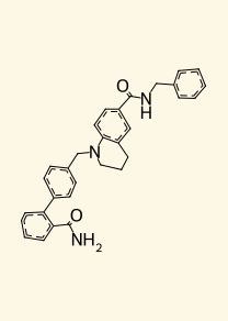 NC(=O)c1ccccc1-c1ccc(CN2CCCc3cc(C(=O)NCc4ccccc4)ccc32)cc1